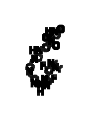 Cc1nc2c(F)cc(-c3nc(Nc4ccc(CN5CCC(CN6CCCC(Nc7ccc8c(c7)C(=O)N(C7CCC(=O)NC7=O)C8=O)C6)CC5)cn4)ncc3F)cc2n1C(C)C